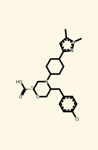 Cc1cc(C2CCC(N3C[C@@H](C(=O)O)OCC3Cc3ccc(Cl)cc3)CC2)nn1C